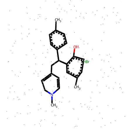 Br.Cc1ccc(C(CC2=CCN(C)C=C2)c2cc(C)ccc2O)cc1